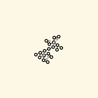 c1ccc(-c2ccc(-c3nc(-c4cccc5c4oc4ccccc45)cc(-c4cccc5c4oc4ccccc45)n3)c(-c3ccc(-c4ccc(-c5ccc(-c6ccc(-c7ccccc7)c(-c7ccccc7)c6-c6nc(-c7cccc8c7oc7ccccc78)cc(-c7cccc8c7oc7ccccc78)n6)cc5)cc4)cc3)c2-c2ccccc2)cc1